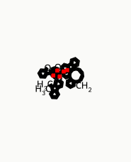 C=C1/C=C\C=C/CC2(c3ccc(N(c4ccc5c(c4)C(C)(C)c4ccccc4-5)c4ccc5oc6ccccc6c5c4)cc3-c3ccccc31)c1ccccc1-c1cc3oc4ccccc4c3cc12